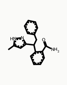 Cc1cc(C(Cc2ccccc2)c2ccccc2C(N)=O)n[nH]1